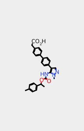 Cc1ccc(C(C)OC(=O)Nc2c(-c3ccc(-c4ccc(CC(=O)O)cc4)cc3)cnn2C)cc1